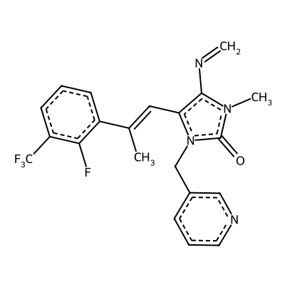 C=Nc1c(/C=C(\C)c2cccc(C(F)(F)F)c2F)n(Cc2cccnc2)c(=O)n1C